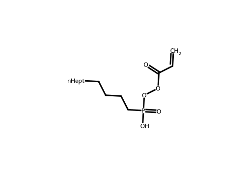 C=CC(=O)OOP(=O)(O)CCCCCCCCCCC